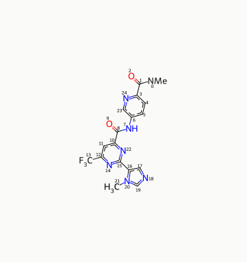 CNC(=O)c1ccc(NC(=O)c2cc(C(F)(F)F)nc(-c3cncn3C)n2)cn1